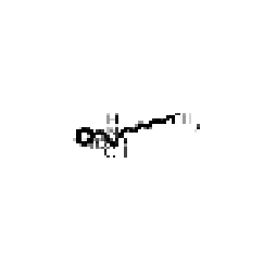 CCCCCCCCCNC(O)(Cc1ccccc1)C(=O)O